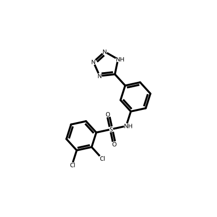 O=S(=O)(Nc1cccc(-c2nnn[nH]2)c1)c1cccc(Cl)c1Cl